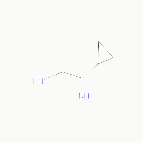 NC[C@@H](N)C1CC1